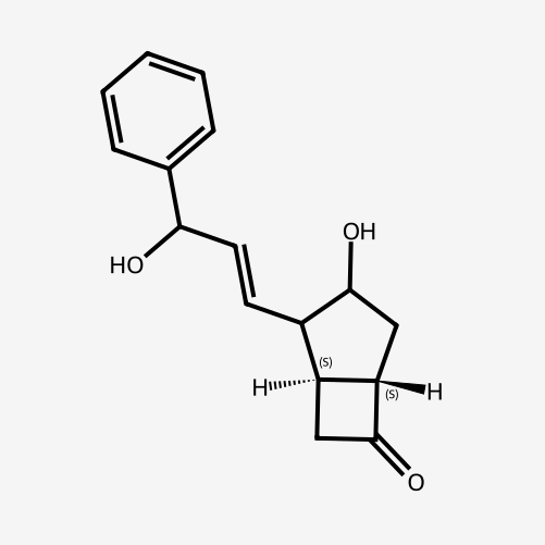 O=C1C[C@H]2C(C=CC(O)c3ccccc3)C(O)C[C@H]12